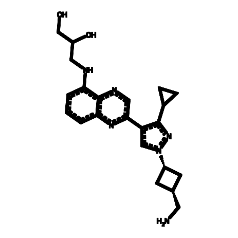 NC[C@H]1C[C@H](n2cc(-c3cnc4c(NCC(O)CO)cccc4n3)c(C3CC3)n2)C1